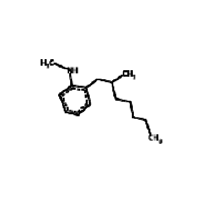 CCCCCC(C)Cc1ccccc1NC